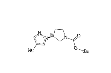 CC(C)(C)OC(=O)N1CC[C@H](n2cc(C#N)cn2)C1